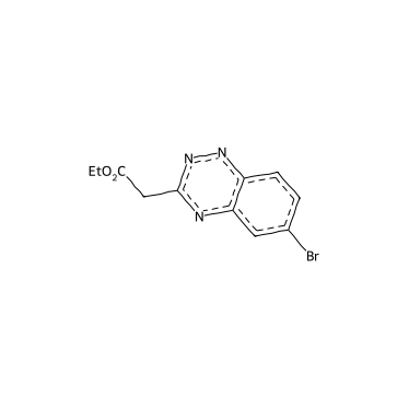 CCOC(=O)Cc1nnc2ccc(Br)cc2n1